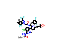 COC(=O)Nc1nn(C)c2c(-c3ccc(C#CC(C)(C)O)nc3[C@H](Cc3cc(F)cc(F)c3)NC(=O)Cn3nc(C(F)F)c4c3C(F)(F)C3C[C@H]43)ccc(Cl)c12